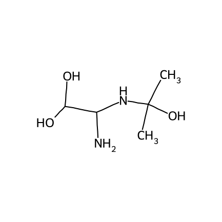 CC(C)(O)NC(N)C(O)O